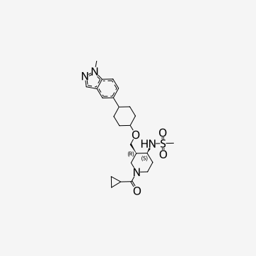 Cn1ncc2cc(C3CCC(OC[C@@H]4CN(C(=O)C5CC5)CC[C@@H]4NS(C)(=O)=O)CC3)ccc21